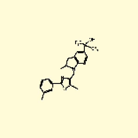 Cc1cccc(-c2nc(CN3c4ccc(C(O)(C(F)(F)F)C(F)(F)F)cc4CC3C)c(C)o2)c1